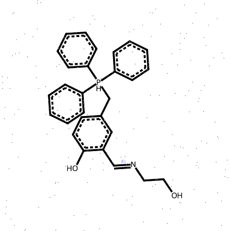 OCC/N=C/c1cc(C[PH](c2ccccc2)(c2ccccc2)c2ccccc2)ccc1O